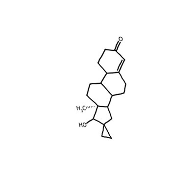 C[C@]12CCC3C4CCC(=O)C=C4CCC3C1CC1(CC1)C2O